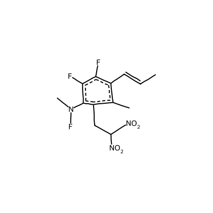 CC=Cc1c(C)c(CC([N+](=O)[O-])[N+](=O)[O-])c(N(C)F)c(F)c1F